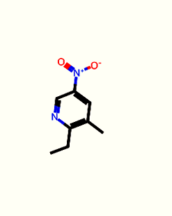 CCc1ncc([N+](=O)[O-])cc1C